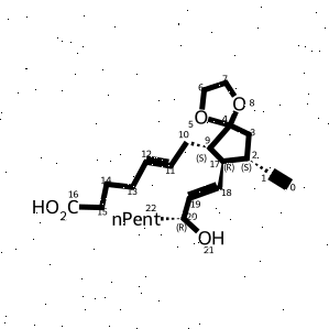 C#C[C@H]1CC2(OCCO2)[C@@H](CC=CCCCC(=O)O)[C@@H]1C=C[C@H](O)CCCCC